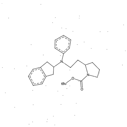 CC(C)(C)OC(=O)N1CCCC1CCN(c1ccccc1)C1Cc2ccccc2C1